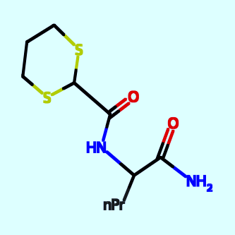 CCCC(NC(=O)C1SCCCS1)C(N)=O